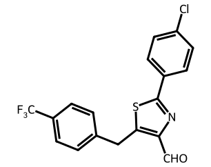 O=Cc1nc(-c2ccc(Cl)cc2)sc1Cc1ccc(C(F)(F)F)cc1